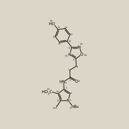 CCCCn1cc(NC(=O)CCc2nc(-c3ccc(O)cc3)no2)c(C(=O)O)c1I